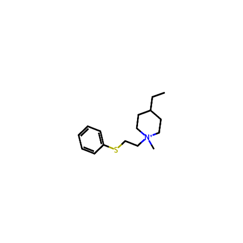 CCC1CC[N+](C)(CCSc2ccccc2)CC1